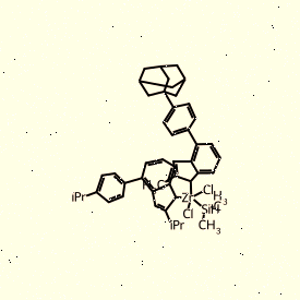 CC1=Cc2c(-c3ccc(C45CC6CC(CC(C6)C4)C5)cc3)cccc2[CH]1[Zr]([Cl])([Cl])([CH]1C(C(C)C)=Cc2c(-c3ccc(C(C)C)cc3)cccc21)[SiH](C)C